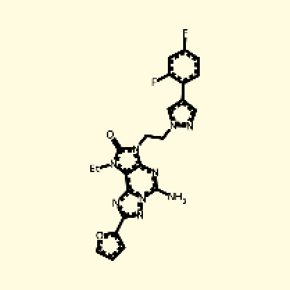 CCn1c(=O)n(CCn2cc(-c3ccc(F)cc3F)cn2)c2nc(N)n3nc(-c4ccco4)nc3c21